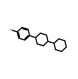 Fc1ccc(C2CCC(C3CC[CH]CC3)CC2)cc1